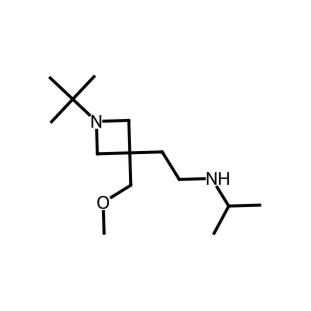 COCC1(CCNC(C)C)CN(C(C)(C)C)C1